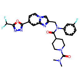 CN(C)C(=O)N1CCC(C(=O)N(Cc2cn3ccc(-c4nnc(C(F)F)o4)cc3n2)c2cccc(F)c2)CC1